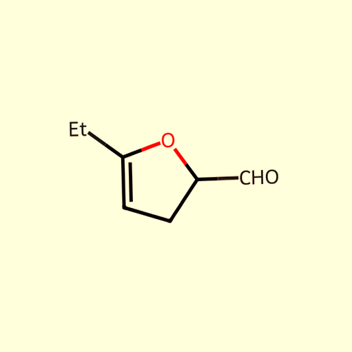 CCC1=CCC(C=O)O1